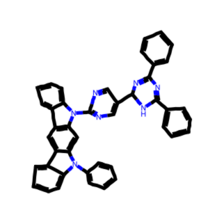 c1ccc(C2=NC(c3cnc(-n4c5ccccc5c5cc6c7ccccc7n(-c7ccccc7)c6cc54)nc3)NC(c3ccccc3)=N2)cc1